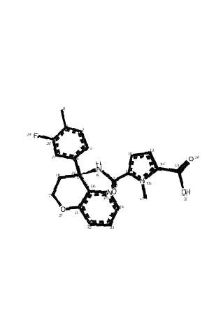 Cc1ccc([C@@]2(NC(=O)c3ccc(C(=O)O)n3C)CCOc3cccnc32)cc1F